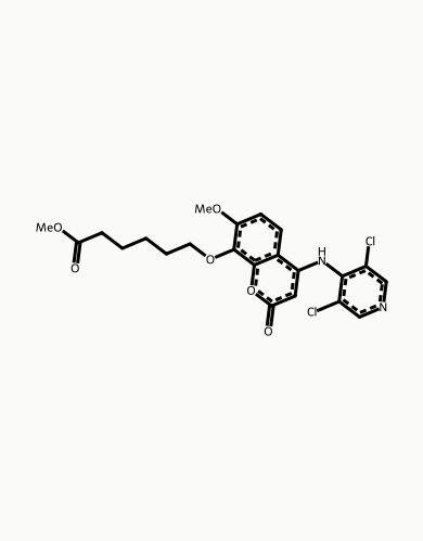 COC(=O)CCCCCOc1c(OC)ccc2c(Nc3c(Cl)cncc3Cl)cc(=O)oc12